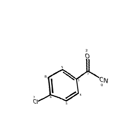 N#CC(=O)c1ccc(Cl)cc1